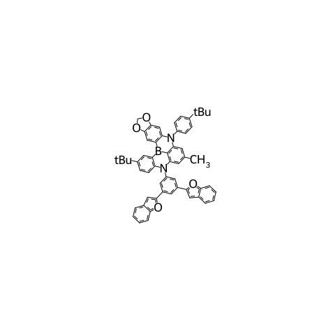 Cc1cc2c3c(c1)N(c1ccc(C(C)(C)C)cc1)c1cc4c(cc1B3c1cc(C(C)(C)C)ccc1N2c1cc(-c2cc3ccccc3o2)cc(-c2cc3ccccc3o2)c1)OCO4